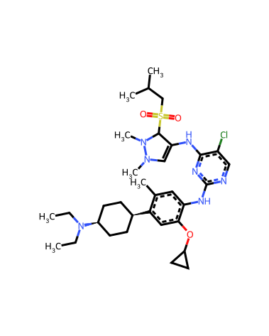 CCN(CC)[C@H]1CC[C@@H](c2cc(OC3CC3)c(Nc3ncc(Cl)c(NC4=CN(C)N(C)C4S(=O)(=O)CC(C)C)n3)cc2C)CC1